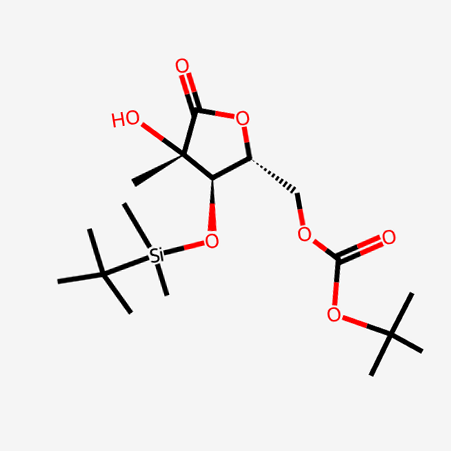 CC(C)(C)OC(=O)OC[C@H]1OC(=O)[C@@](C)(O)[C@@H]1O[Si](C)(C)C(C)(C)C